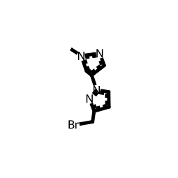 Cn1cc(-n2ccc(CBr)n2)cn1